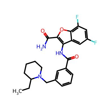 CCC1CCCCN1Cc1cccc(C(=O)Nc2c(C(N)=O)oc3c(F)cc(F)cc23)c1